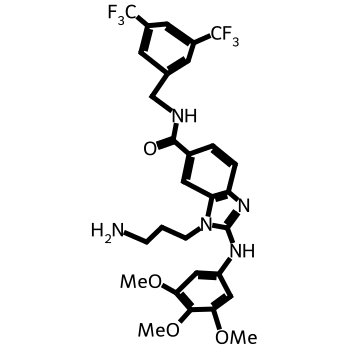 COc1cc(Nc2nc3ccc(C(=O)NCc4cc(C(F)(F)F)cc(C(F)(F)F)c4)cc3n2CCCN)cc(OC)c1OC